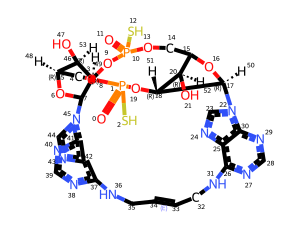 O=P1(S)OC[C@H]2OC3[C@H](OP(=O)(S)OCC4O[C@H]([C@H](O1)[C@@H]4O)n1cnc4c(ncnc41)NC/C=C/CNc1ncnc4c1ncn43)[C@@H]2O